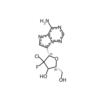 Nc1ncnn2c([C@@H]3O[C@H](CO)C(O)C3(F)Cl)cnc12